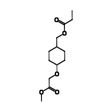 CCC(=O)OCC1CCC(OCC(=O)OC)CC1